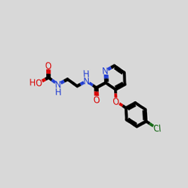 O=C(O)NCCNC(=O)c1ncccc1Oc1ccc(Cl)cc1